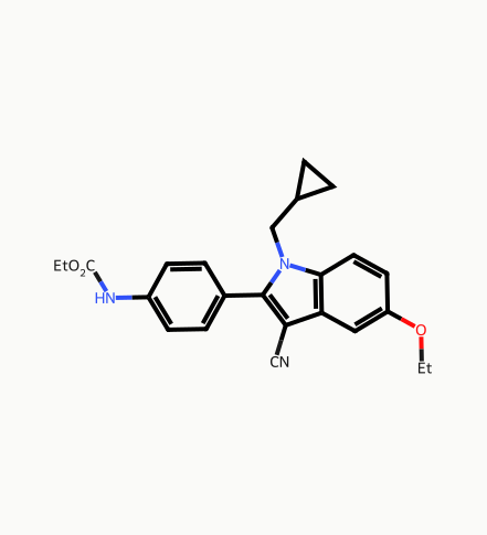 CCOC(=O)Nc1ccc(-c2c(C#N)c3cc(OCC)ccc3n2CC2CC2)cc1